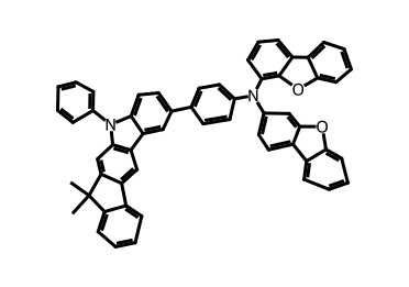 CC1(C)c2ccccc2-c2cc3c4cc(-c5ccc(N(c6ccc7c(c6)oc6ccccc67)c6cccc7c6oc6ccccc67)cc5)ccc4n(-c4ccccc4)c3cc21